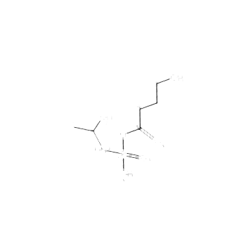 CC(O)NP(=O)(O)OC(=O)CCCO